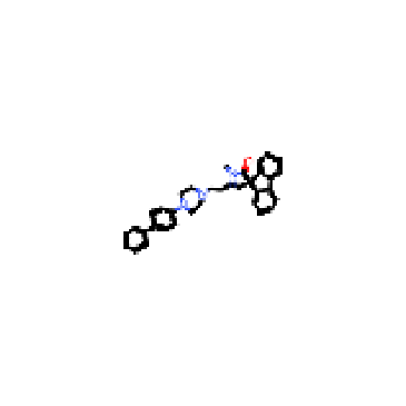 CNC(=O)C1(CCCCN2CCN(c3ccc(-c4ccccc4)cc3)CC2)c2ccccc2-c2ccccc21